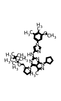 COc1cc(-n2cnc(Nc3nc(N4CCC[C@H]4CO[Si](C)(C)C(C)(C)C)c4c(C)nn(C5CCCC5)c4n3)c2)cc(C)c1C